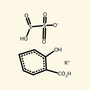 O=C(O)c1ccccc1O.O=S(O)S(=O)(=O)[O-].[K+]